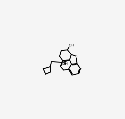 OC1CCC2(O)C3Cc4cc[c]c5c4C2(CCN3CC2CCC2)C1O5